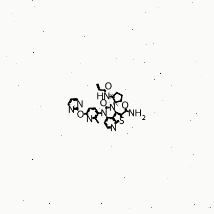 C=CC(=O)N[C@H]1CCC[C@H]1N1C(=O)N(c2ccc(Oc3ncccn3)nc2C)c2ccnc3sc(C(N)=O)c1c23